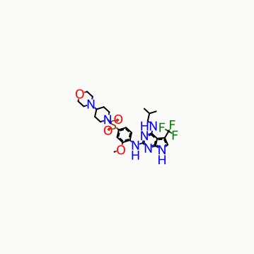 COc1cc(S(=O)(=O)N2CCC(N3CCOCC3)CC2)ccc1Nc1nc(NCC(C)C)c2c(C(F)(F)F)c[nH]c2n1